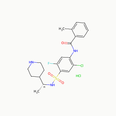 Cc1ccccc1C(=O)Nc1cc(F)c(S(=O)(=O)N[C@H](C)C2CCNCC2)cc1Cl.Cl